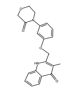 Cc1c(COc2cccc(N3CCOCC3=O)c2)[nH]c2ccccc2c1=O